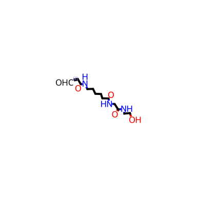 O=C/C=C\C(=O)NCCCCCC(=O)NCC(=O)NCCO